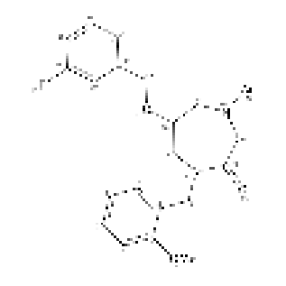 COc1ccccc1CN1CC(OCc2cccc(F)c2)CN(C(C)=O)CC1=O